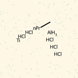 CCCC.Cl.Cl.Cl.Cl.Cl.[AlH3].[Ti]